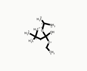 CCOC(O)(CC(C)(C)C)OC(C)N